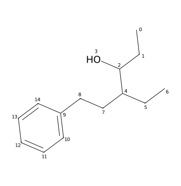 CCC(O)C(CC)CCc1ccccc1